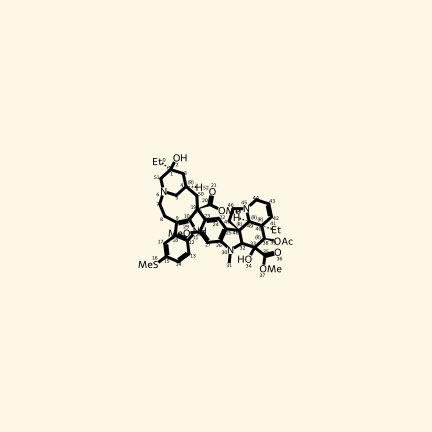 CC[C@]1(O)C[C@@H]2CN(CCc3c([nH]c4ccc(SC)cc34)[C@@](C(=O)OC)(c3cc4c(cc3OC)N(C)C3C(O)(C(=O)OC)[C@H](OC(C)=O)[C@]5(CC)C=CCN6CC[C@]43[C@@H]65)C2)C1